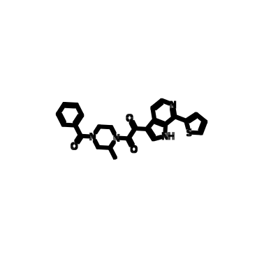 CC1CN(C(=O)c2ccccc2)CCN1C(=O)C(=O)c1c[nH]c2c(-c3cccs3)nccc12